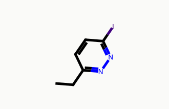 CCc1ccc(I)nn1